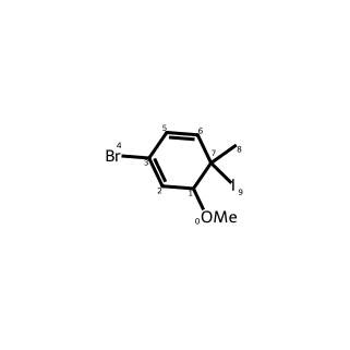 COC1C=C(Br)C=CC1(C)I